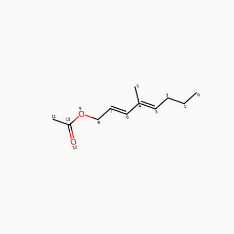 CCC/C=C(C)/C=C/COC(C)=O